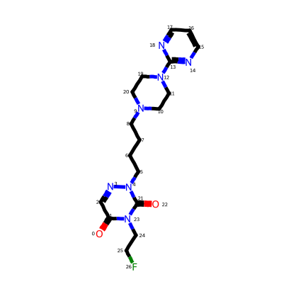 O=c1cnn(CCCCN2CCN(c3ncccn3)CC2)c(=O)n1CCF